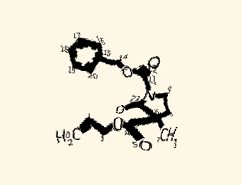 C=CCOC(=O)C1(C)CCN(C(=O)OCc2ccccc2)C1=O